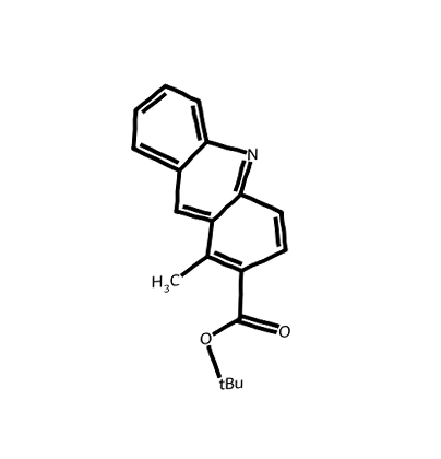 Cc1c(C(=O)OC(C)(C)C)ccc2nc3ccccc3cc12